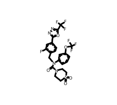 O=C(N1CCS(=O)(=O)CC1)N(Cc1ccc(-c2nnc(C(F)(F)F)o2)cc1F)c1cccc(OC(F)(F)F)c1